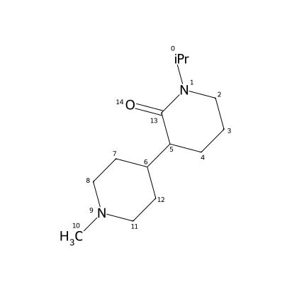 CC(C)N1CCCC(C2CCN(C)CC2)C1=O